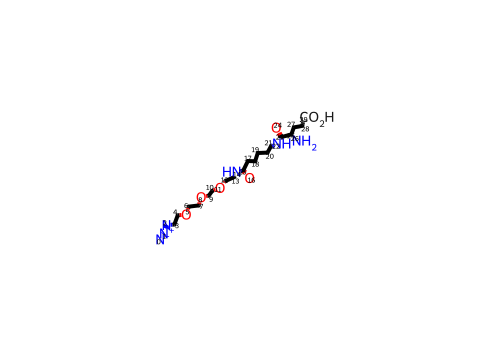 [N-]=[N+]=NCCOCCOCCOCCNC(=O)CCCCCNC(=O)[C@@H](N)CCC(=O)O